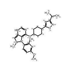 COc1ccc(N2C3=C(OC4CCC(c5nc(C(C)C)no5)CC4)N=CNC3=CN2C)c(C)n1